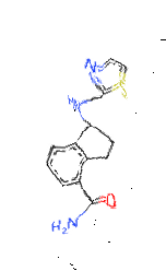 NC(=O)c1cccc2c1CCC2Nc1nccs1